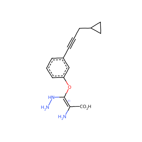 NN/C(Oc1cccc(C#CCC2CC2)c1)=C(\N)C(=O)O